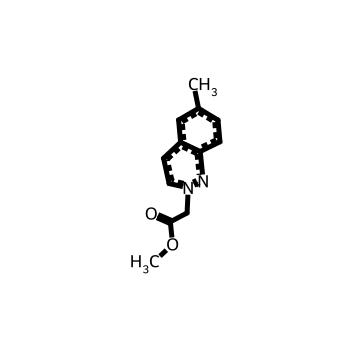 COC(=O)C[n+]1ccc2cc(C)ccc2n1